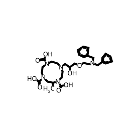 CC1CN(C(=O)O)CCN(C(=O)O)CCN(CC(O)COCCN(Cc2ccccc2)Cc2ccccc2)CCN1C(=O)O